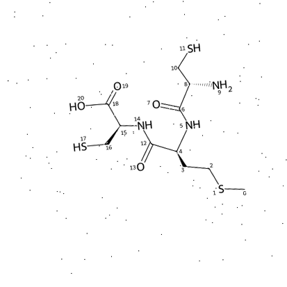 CSCC[C@H](NC(=O)[C@@H](N)CS)C(=O)N[C@@H](CS)C(=O)O